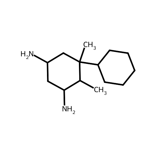 CC1C(N)CC(N)CC1(C)C1CCCCC1